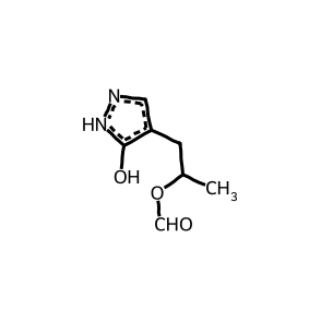 CC(Cc1cn[nH]c1O)OC=O